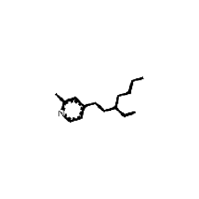 CCCCC(CC)CCc1ccnc(C)c1